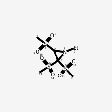 CCN1C(S(C)(=O)=O)C1(S(C)(=O)=O)S(C)(=O)=O